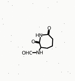 O=CNC1CCCC(=O)NC1=O